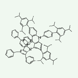 CC(C)c1cc(C(C)C)c(-c2ccc(N3c4ccc(-c5c(C(C)C)cc(C(C)C)cc5C(C)C)cc4B4c5cc(-c6ccccc6)ccc5N5c6cc(cc3c64)-c3c(C(C)C)cc(C(C)C)cc3C(C)c3ccc(cc3)-c3cc(-c4ccccc4)cc(-c4ccccc4)c35)cc2)c(C(C)C)c1